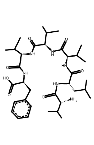 CC(C)C[C@H](NC(=O)[C@H](N)C(C)C)C(=O)N[C@@H](C(=O)N[C@@H](C(=O)N[C@@H](C(=O)N[C@@H](Cc1ccccc1)C(=O)O)C(C)C)C(C)C)C(C)C